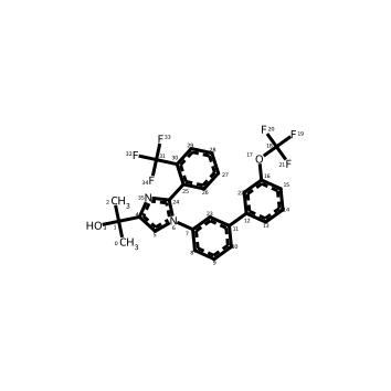 CC(C)(O)c1cn(-c2cccc(-c3cccc(OC(F)(F)F)c3)c2)c(-c2ccccc2C(F)(F)F)n1